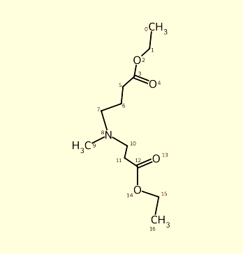 CCOC(=O)CCCN(C)CCC(=O)OCC